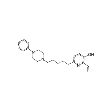 C=Cc1nc(CCCCCN2CCN(c3ccccc3)CC2)ccc1O